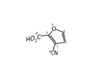 N#Cc1ccoc1C(=O)O